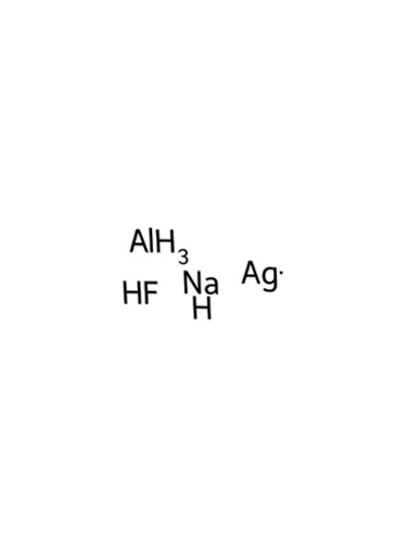 F.[Ag].[AlH3].[NaH]